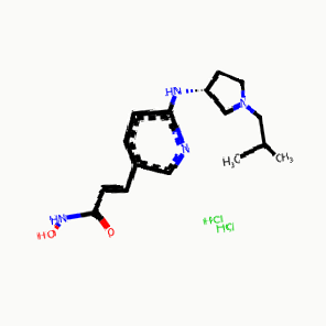 CC(C)CN1CC[C@@H](Nc2ccc(/C=C/C(=O)NO)cn2)C1.Cl.Cl